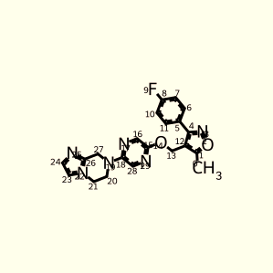 Cc1onc(-c2ccc(F)cc2)c1COc1cnc(N2CCn3ccnc3C2)cn1